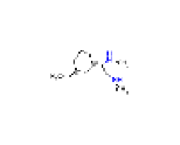 CC[C@H]1CCC[C@H](C(CNC)NC)C1